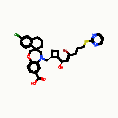 O=C(O)c1ccc2c(c1)N(C[C@@H]1CC[C@H]1[C@@H](O)/C=C(\Br)CCCSc1ncccn1)CC1(CCCc3cc(Cl)ccc31)CO2